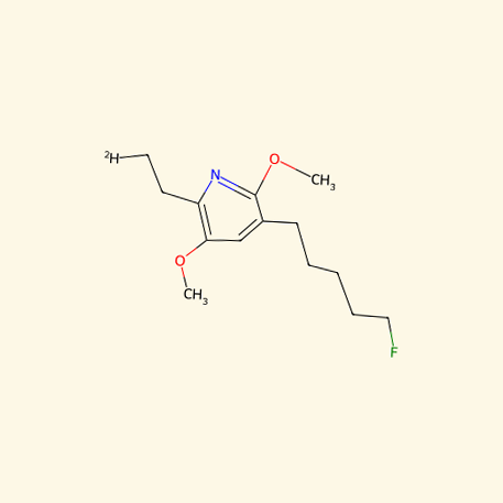 [2H]CCc1nc(OC)c(CCCCCF)cc1OC